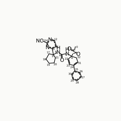 CS(=O)(=O)C1(NC(=O)NC2(c3ccnc(C#N)n3)CCCCC2)C=CC(c2ccccc2)=CC1